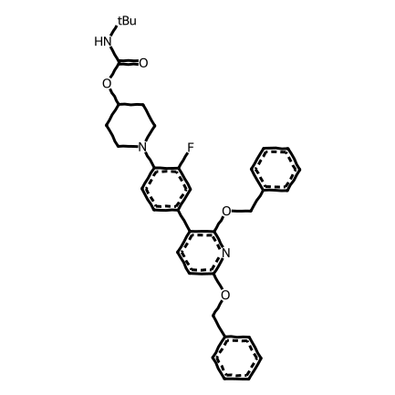 CC(C)(C)NC(=O)OC1CCN(c2ccc(-c3ccc(OCc4ccccc4)nc3OCc3ccccc3)cc2F)CC1